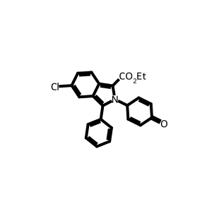 CCOC(=O)c1c2ccc(Cl)cc2c(-c2ccccc2)n1C1C=CC(=O)C=C1